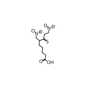 O=C(O)CCCCC(C[N+](=O)[O-])C(=S)CC[N+](=O)[O-]